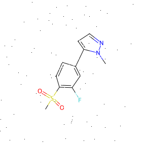 Cn1nccc1-c1ccc(S(C)(=O)=O)c(F)c1